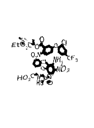 CCOC(=O)C(C)OC(=O)c1cc(Oc2ccc(C(F)(F)F)cc2Cl)ccc1[N+](=O)[O-].C[S+](C)C.Nc1c([N+](=O)[O-])ccc(Oc2ccccc2)c1Cl.O=C(O)CNCP(=O)([O-])O